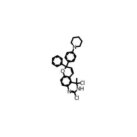 CC1(Cl)NC(Cl)=Nc2ccc3c(c21)C=CC(c1ccccc1)(c1ccc(N2CCCCC2)cc1)O3